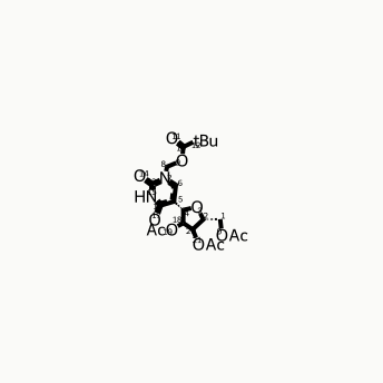 CC(=O)OC[C@H]1O[C@@H](c2cn(COC(=O)C(C)(C)C)c(=O)[nH]c2=O)C(OC(C)=O)C1OC(C)=O